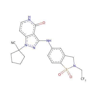 N#CC1(n2nc(Nc3ccc4c(c3)CN(CC(F)(F)F)S4(=O)=O)c3c(=O)[nH]ccc32)CCCC1